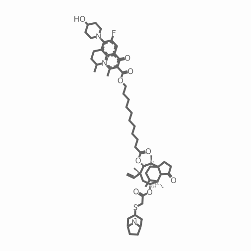 C=C[C@@]1(C)C[C@H](OC(=O)CSC2CC3CCC(C2)N3C)[C@@]2(C)C(C)CCC3(CCC(=O)C32)[C@H](C)[C@@H]1OC(=O)CCCCCCCCCCOC(=O)c1c(C)n2c3c(c(N4CCC(O)CC4)c(F)cc3c1=O)CCC2C